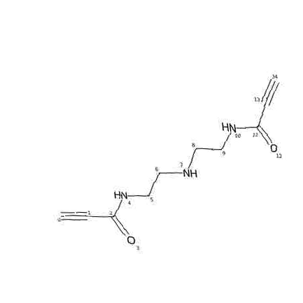 C#CC(=O)NCCNCCNC(=O)C#C